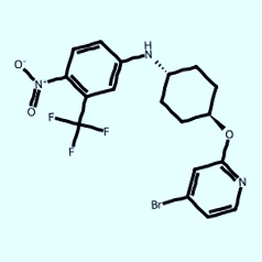 O=[N+]([O-])c1ccc(N[C@H]2CC[C@H](Oc3cc(Br)ccn3)CC2)cc1C(F)(F)F